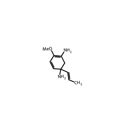 CC=CC1(N)C=CC(OC)=C(N)C1